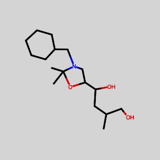 CC(CO)CC(O)C1CN(CC2CCCCC2)C(C)(C)O1